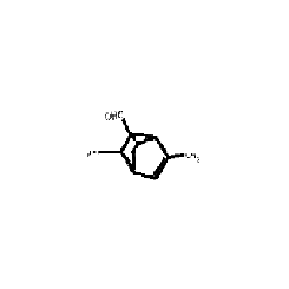 CC1=CC2CC(C=O)[C]1CC2C(C)C